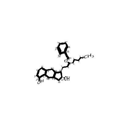 CCCCC[C@@H](CC[C@@H]1C2Cc3cccc(O)c3CC2C[C@H]1O)OCc1ccccc1